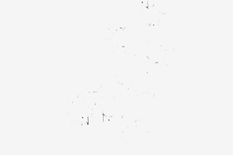 c1ccc(-c2cc(-c3ccc(-c4c5ccccc5c(-c5cccnc5)c5ccccc45)c4ccccc34)c3ccc4cccnc4c3n2)cc1